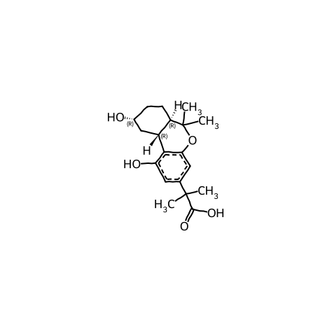 CC(C)(C(=O)O)c1cc(O)c2c(c1)OC(C)(C)[C@@H]1CC[C@@H](O)C[C@@H]21